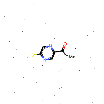 COC(=O)c1cnc(S)cn1